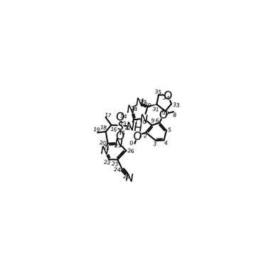 COc1cccc(OC)c1-n1c(NS(=O)(=O)C(C)C(C)c2ncc(C#N)cn2)nnc1[C@@H]1CCOC1